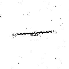 CCCCCCCCCCCCSSCCCCCCCCCCCC.CCO